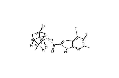 Cc1nc2[nH]c(C(=O)N[C@H]3C[C@H]4C[C@@H]([C@@H]3C)C4(C)C)cc2c(F)c1F